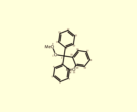 COOC(c1ccccc1)(c1ccccc1)c1ccccc1OC